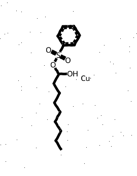 CCCCCCCCC(O)OS(=O)(=O)c1ccccc1.[Cu]